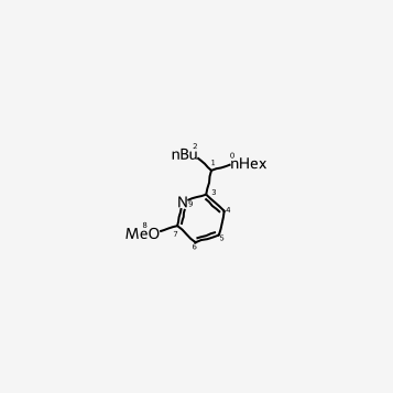 CCCCCCC(CCCC)c1cccc(OC)n1